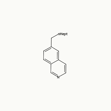 CCCCCCCCc1ccc2cnccc2c1